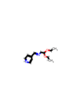 CCOC(CN=Cc1ccncc1)OCC